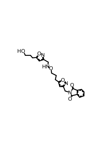 O=C1c2ccccc2C(=O)N1Cc1cc(CCCONCc2cc(CCCO)on2)on1